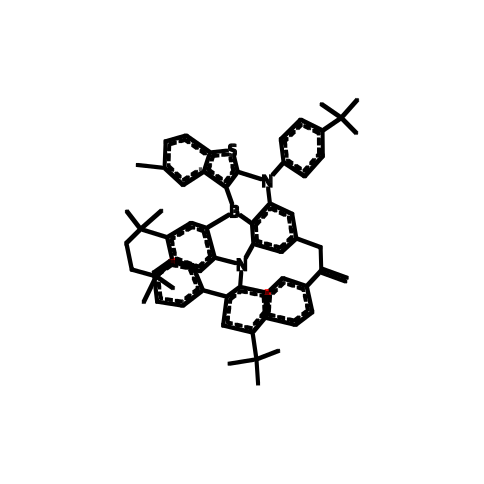 C=C(Cc1cc2c3c(c1)N(c1ccc(C(C)(C)C)cc1)c1sc4ccc(C)cc4c1B3c1cc3c(cc1N2c1ccc(C(C)(C)C)cc1-c1ccccc1)C(C)(C)CCC3(C)C)c1ccccc1